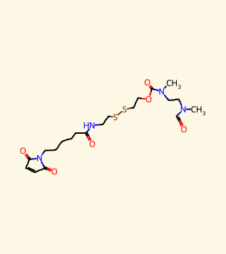 CN(C=O)CCN(C)C(=O)OCCSSCCNC(=O)CCCCCN1C(=O)C=CC1=O